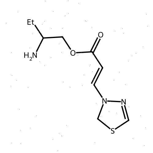 CCC(N)COC(=O)C=CN1CSC=N1